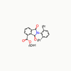 CCCCCCCCCCOC(=O)c1cccc2c1C(=O)N(c1c(C(C)C)cccc1C(C)C)C2=O